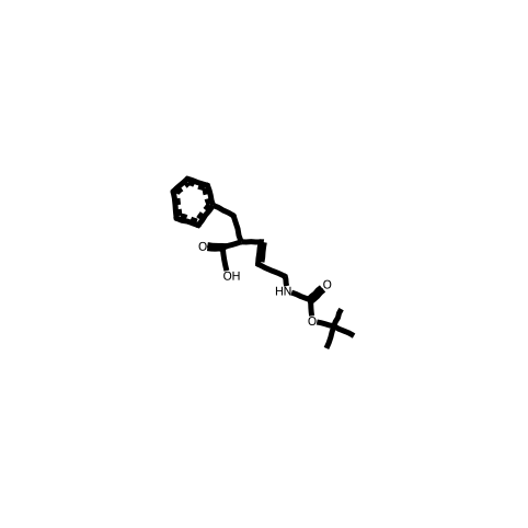 CC(C)(C)OC(=O)NCC=CC(Cc1ccccc1)C(=O)O